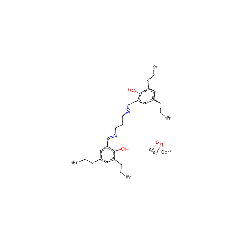 CC(=O)[O-].CC(=O)[O-].CC(C)CCc1cc(C=NCCCN=Cc2cc(CCC(C)C)cc(CCC(C)C)c2O)c(O)c(CCC(C)C)c1.[Co+2]